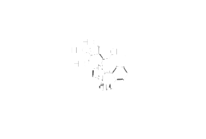 C=C/C(=C(\CC)n1cc[n+](C)c1-c1ccccc1C)C(C)C